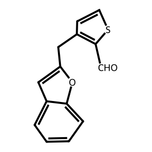 O=Cc1sccc1Cc1cc2ccccc2o1